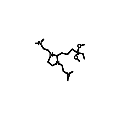 CC[Si](CCCC1N(CCN(C)C)CCN1CCN(C)C)(OC)OC